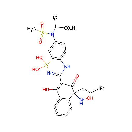 CCC(C(=O)O)N(c1ccc2c(c1)S(O)(O)N=C(C1=C(O)c3ccccc3C(CCC(C)C)(NO)C1=O)N2)S(C)(=O)=O